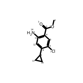 COC(=O)c1cc(Cl)c(C2CC2)cc1N